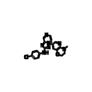 CN1CCOc2cc([N+]34C=CN=CC3=NC(Nc3ccc(Cl)cc3)=N4)cnc21